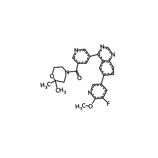 COc1ncc(-c2ccc3ncnc(-c4cncc(C(=O)N5CCOC(C)(C)C5)c4)c3c2)cc1F